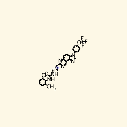 Cc1cccc(C)c1NC(=O)NS/N=C/c1ncc2c(ccc3c2ncn3-c2ccc(OC(F)(F)F)cc2)n1